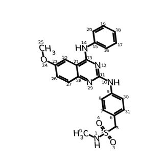 CNS(=O)(=O)Cc1ccc(Nc2nc(Nc3ccccc3)c3cc(OC)ccc3n2)cc1